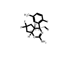 Cc1ccc(F)c([C@@]2(CF)N=C(N)O[C@@H]3CC(F)(F)C[C@@H]32)c1